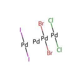 [Br][Pd][Br].[Cl][Pd][Cl].[I][Pd][I].[Pd]